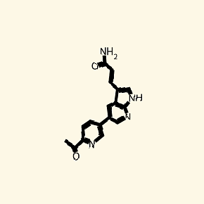 CC(=O)c1ccc(-c2cnc3[nH]cc(/C=C/C(N)=O)c3c2)cn1